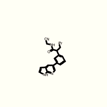 CC(C)CC(C(=O)NCC#N)c1cccc(-c2cnc3[nH]ccc3c2)c1